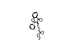 CCOC(=O)CSCC=C1C(=O)c2ccccc2O[C@H]1c1ccccc1